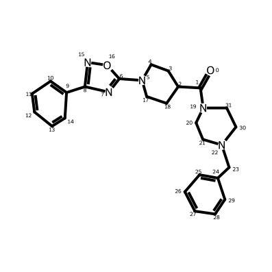 O=C(C1CCN(c2nc(-c3ccccc3)no2)CC1)N1CCN(Cc2ccccc2)CC1